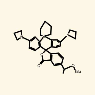 CC(OC(C)(C)C)c1ccc2c(c1)C(=O)OC21c2ccc(N3CCC3)cc2[Si]2(CCCCC2)c2cc(N3CCC3)ccc21